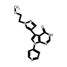 COCCn1cc(-c2cn(-c3ccncc3)c3nc[nH]c(=O)c23)cn1